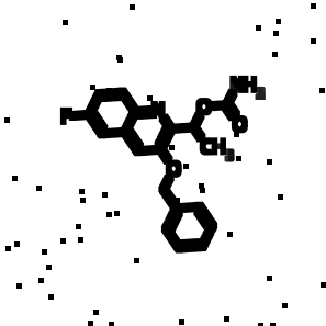 CC(OC(N)=O)c1nc2ccc(F)cc2cc1OCc1ccccc1